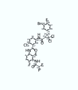 O=C(Nc1ccc(F)c(NC(=O)C(F)F)c1F)c1cc(NC(=O)C2[C@H](c3ccc(F)c(Br)c3)C2(Cl)Cl)ccc1Cl